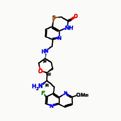 COc1ccc2ncc(F)c(C[C@@H](N)[C@@H]3CC[C@@H](NCc4ccc5c(n4)NC(=O)CS5)CO3)c2n1